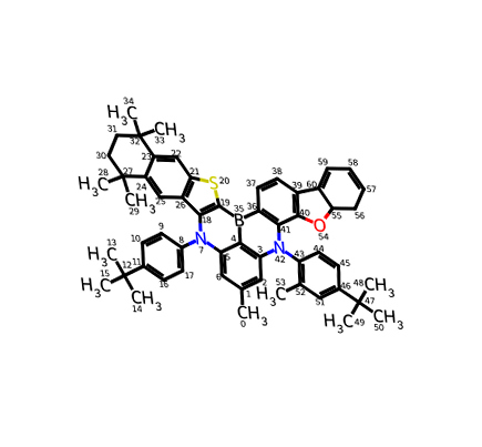 Cc1cc2c3c(c1)N(c1ccc(C(C)(C)C)cc1)c1c(sc4cc5c(cc14)C(C)(C)CCC5(C)C)B3c1ccc3c(c1N2c1ccc(C(C)(C)C)cc1C)OC1CC=CC=C31